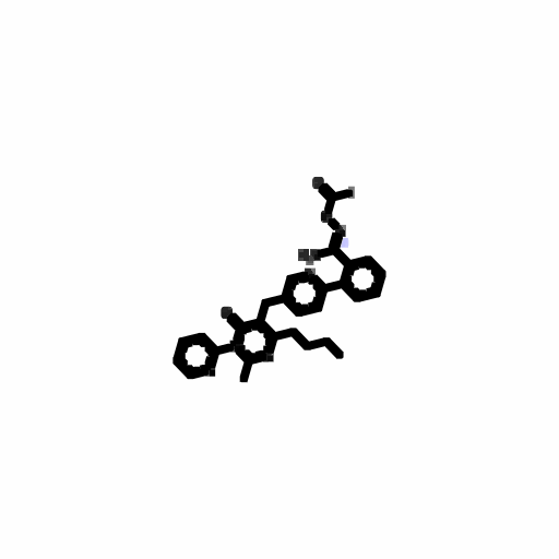 CCCCc1nc(C)n(-c2ccccn2)c(=O)c1Cc1ccc(-c2ccccc2/C(N)=N/OC(=O)I)nc1